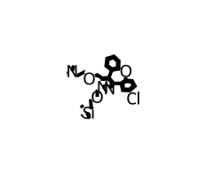 CN(C)CCOCc1c2c(nn1COCC[Si](C)(C)C)-c1cc(Cl)ccc1Oc1ccccc1-2